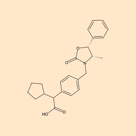 C[C@H]1[C@@H](c2ccccc2)OC(=O)N1Cc1ccc(C(C(=O)O)C2CCCC2)cc1